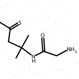 CC(=S)CC(C)(C)NC(=O)CN